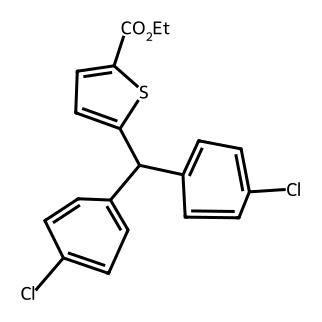 CCOC(=O)c1ccc(C(c2ccc(Cl)cc2)c2ccc(Cl)cc2)s1